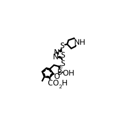 Cc1ccc2c(c1C(=O)O)OB(O)[C@@H](Sc1nnc(SC3CCNCC3)s1)C2